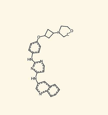 c1ccc2ncc(Nc3ccnc(Nc4ccc(OC5CC(N6CCOCC6)C5)cc4)n3)cc2c1